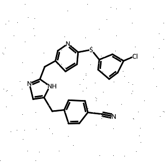 N#Cc1ccc(Cc2cnc(Cc3ccc(Sc4cccc(Cl)c4)nc3)[nH]2)cc1